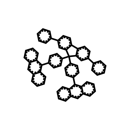 c1ccc(-c2ccc3c(c2)C(c2ccc(-c4c5ccccc5cc5ccccc45)cc2)(c2ccc(-c4c5ccccc5cc5ccccc45)cc2)c2cc(-c4ccccc4)ccc2-3)cc1